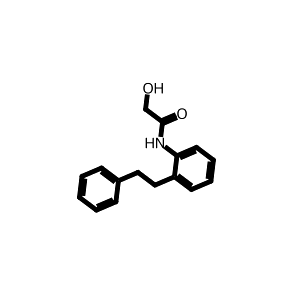 O=C(CO)Nc1ccccc1CCc1ccccc1